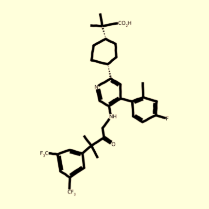 Cc1cc(F)ccc1-c1cc([C@H]2CC[C@@H](C(C)(C)C(=O)O)CC2)ncc1NCC(=O)C(C)(C)c1cc(C(F)(F)F)cc(C(F)(F)F)c1